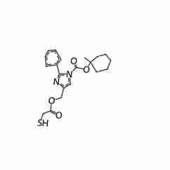 CC1(OC(=O)n2cc(COC(=O)CS)nc2-c2ccccc2)CCCCC1